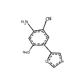 COc1cc(N)c(C#N)cc1-c1cnco1